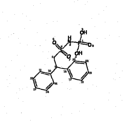 O=P(O)(O)NS(=O)(=O)CC(c1ccccc1)c1ccccc1